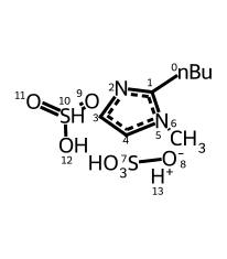 CCCCc1nccn1C.O=S(=O)([O-])O.O=[SH](=O)O.[H+]